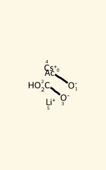 CC(=O)[O-].O=C([O-])O.[Cs+].[Li+]